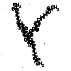 C=CC(=O)OCCCCCCOc1ccc(C(=O)OCOC(=O)c2cc(OC(=O)c3ccc(OCCCCCCOC(=O)C=C)cc3)ccc2OC(=O)c2ccc(OCCCCCCOC(=O)C=C)cc2)cc1